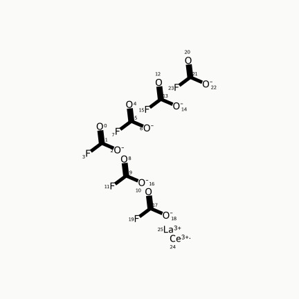 O=C([O-])F.O=C([O-])F.O=C([O-])F.O=C([O-])F.O=C([O-])F.O=C([O-])F.[Ce+3].[La+3]